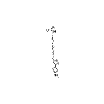 CC(C)C(C)NCCOCCOCCOCCn1cc(-c2ccc(N)cc2)nn1